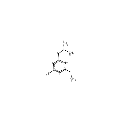 CCc1cc(I)cc(CC(C)C)n1